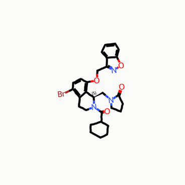 O=C1CCCN1C[C@@H]1c2c(OCc3noc4ccccc34)ccc(Br)c2CCN1C(=O)C1CCCCC1